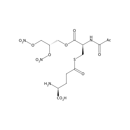 CC(=O)C(=O)N[C@@H](CSC(=O)CC[C@H](N)C(=O)O)C(=O)OC[C@@H](CO[N+](=O)[O-])O[N+](=O)[O-]